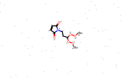 CC(C)(C)OOC(CCN1C(=O)C=CC1=O)OOC(C)(C)C